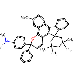 COc1ccc2c3c(c4c(c2c1)OC(c1ccccc1)(c1ccc(N(C)C)cc1)C=C4)C1(CC(C)(C)CC(C)(C)C1)c1ccccc1-3